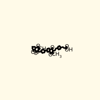 CC1=C(CCc2ccc(CCC(=O)O)cc2)C(=O)c2ccc(-c3ccc(CC4=C(C)C(=O)c5cccc(O)c5C4=O)cc3)cc2C1=O